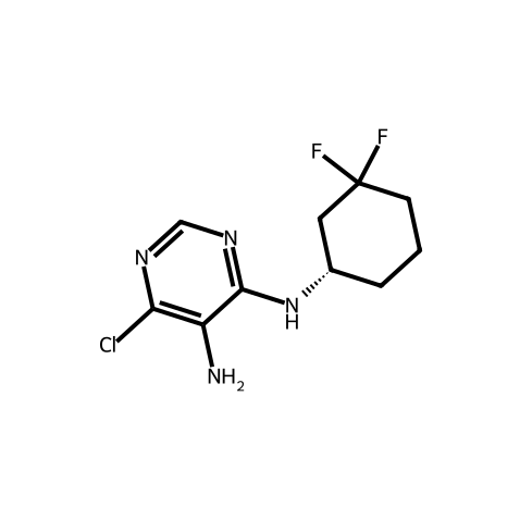 Nc1c(Cl)ncnc1N[C@H]1CCCC(F)(F)C1